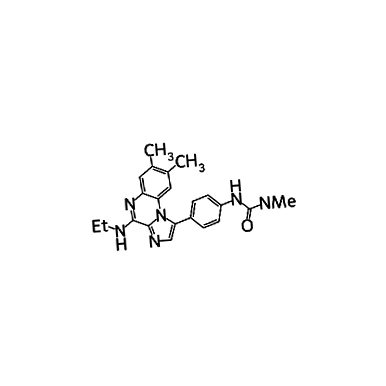 CCNc1nc2cc(C)c(C)cc2n2c(-c3ccc(NC(=O)NC)cc3)cnc12